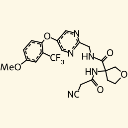 COc1ccc(Oc2cnc(CNC(=O)C3(NC(=O)CC#N)CCOC3)nc2)c(C(F)(F)F)c1